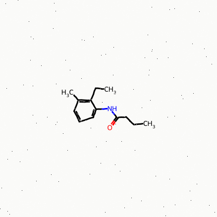 CCCC(=O)Nc1cccc(C)c1CC